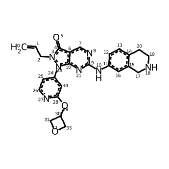 C=CCn1c(=O)c2cnc(Nc3ccc4c(c3)CNCC4)nc2n1-c1ccnc(OC2COC2)c1